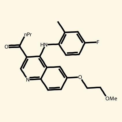 CCCC(=O)c1cnc2ccc(OCCOC)cc2c1Nc1ccc(F)cc1C